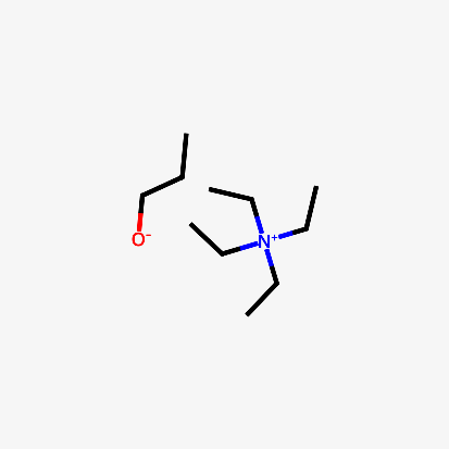 CCC[O-].CC[N+](CC)(CC)CC